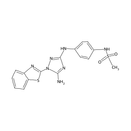 CS(=O)(=O)Nc1ccc(Nc2nc(N)n(-c3nc4ccccc4s3)n2)cc1